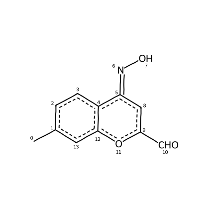 Cc1ccc2c(=NO)cc(C=O)oc2c1